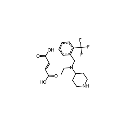 CCN(Cc1ccccc1C(F)(F)F)C1CCNCC1.O=C(O)/C=C/C(=O)O